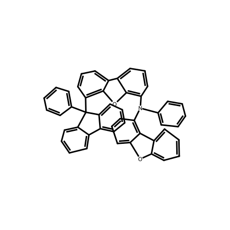 c1ccc(N(c2cccc3c2oc2c(C4(c5ccccc5)c5ccccc5-c5ccccc54)cccc23)c2cccc3oc4ccccc4c23)cc1